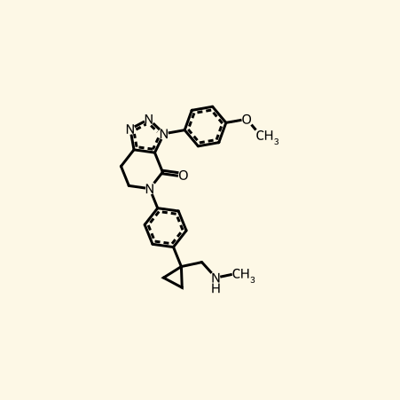 CNCC1(c2ccc(N3CCc4nnn(-c5ccc(OC)cc5)c4C3=O)cc2)CC1